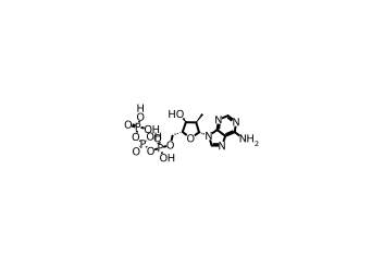 C[C@@H]1[C@H](O)[C@@H](COP(=O)(O)OP(=O)(O)OP(=O)(O)O)O[C@H]1n1cnc2c(N)ncnc21